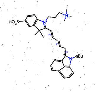 CCCCn1/c(=C/C=C/C=C/C2=[N+](CCC[N+](C)(C)C)c3ccc(S(=O)(=O)O)cc3C2(C)C)c2cccc3cccc1c32